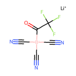 N#C[B-](C#N)(C#N)C(=O)C(F)(F)F.[Li+]